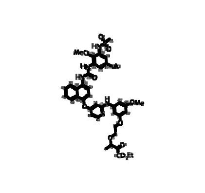 CCOC(=O)C(=O)C(C)OCCOc1cc(Nc2cc(Oc3ccc(NC(=O)Nc4cc(C(C)(C)C)cc(NS(C)(=O)=O)c4OC)c4ccccc34)ccn2)cc(OC)c1